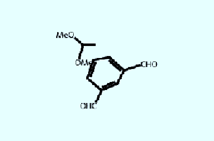 COC(C)OC.O=Cc1cccc(C=O)c1